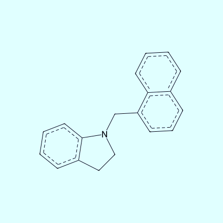 c1ccc2c(c1)CCN2Cc1cccc2ccccc12